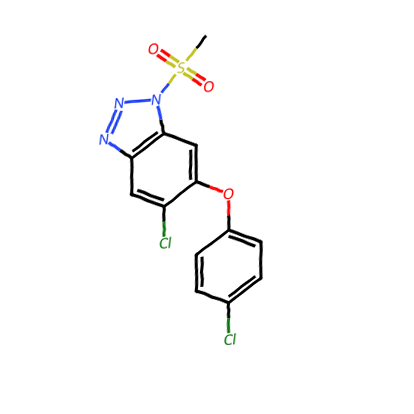 CS(=O)(=O)n1nnc2cc(Cl)c(Oc3ccc(Cl)cc3)cc21